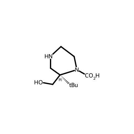 CC(C)(C)[C@]1(CO)CNCCN1C(=O)O